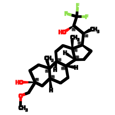 COC[C@@]1(O)CC[C@@]2(C)[C@H](CC[C@@H]3[C@@H]2CC[C@]2(C)[C@@H]([C@H](C)[C@H](O)C(F)(F)F)CC[C@@H]32)C1